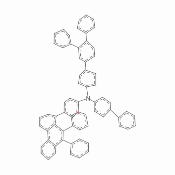 c1ccc(-c2ccc(N(c3ccc(-c4ccc(-c5ccccc5)c(-c5ccccc5)c4)cc3)c3ccc(-c4cccc5c4c(-c4ccccc4)c(-c4ccccc4)c4ccccc45)cc3)cc2)cc1